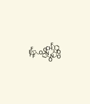 COc1nc(C(=O)N2CC[C@]3(c4cccc(F)c4)OCOC3C2)ccc1OCC1CC(F)(F)C1(F)F